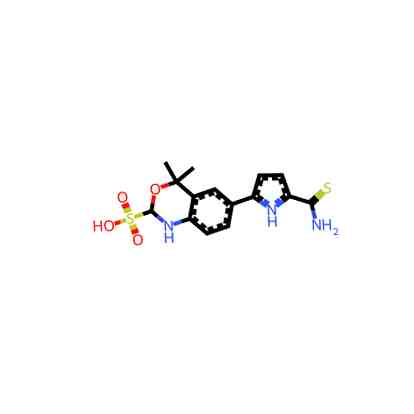 CC1(C)OC(S(=O)(=O)O)Nc2ccc(-c3ccc(C(N)=S)[nH]3)cc21